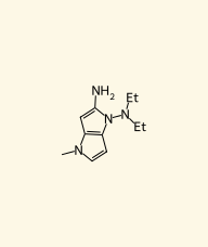 CCN(CC)n1c(N)cc2c1ccn2C